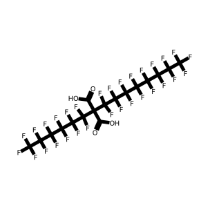 O=C(O)C(C(=O)O)(C(F)(F)C(F)(F)C(F)(F)C(F)(F)C(F)(F)C(F)(F)F)C(F)(F)C(F)(F)C(F)(F)C(F)(F)C(F)(F)C(F)(F)C(F)(F)C(F)(F)F